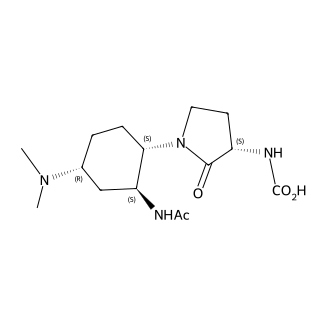 CC(=O)N[C@H]1C[C@H](N(C)C)CC[C@@H]1N1CC[C@H](NC(=O)O)C1=O